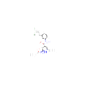 CC(=O)Nc1cc(C(=O)Nc2cccc(CCC(F)F)c2)cc(C)n1